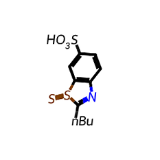 CCCCC1=Nc2ccc(S(=O)(=O)O)cc2S1=S